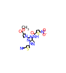 COC(=O)c1ccn(-c2nc(NC(=O)c3ccc([N+](=O)[O-])s3)c3cnn(-c4csc(C#N)c4)c3n2)c1